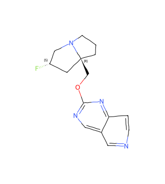 F[C@@H]1CN2CCC[C@]2(COc2ncc3cnccc3n2)C1